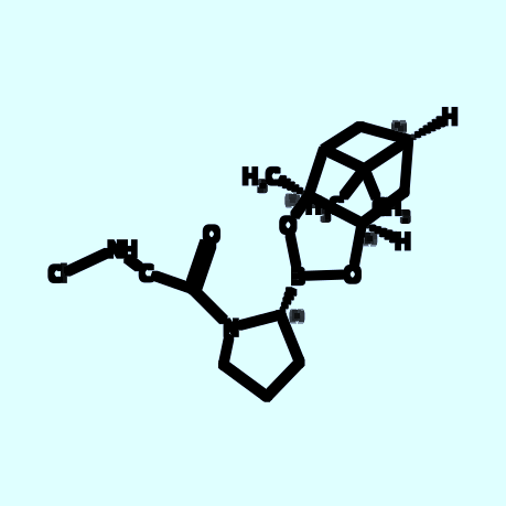 CC1(C)C2C[C@H]1C[C@H]1OB([C@@H]3CCCN3C(=O)CNCl)O[C@@]21C